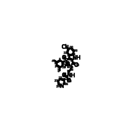 Cc1cc(C)cc(S(=O)(=O)c2c(C(=O)NCCNS(=O)(=O)c3cccnc3)[nH]c3ccc(Cl)cc23)c1